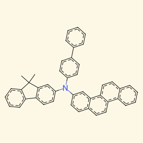 CC1(C)c2ccccc2-c2ccc(N(c3ccc(-c4ccccc4)cc3)c3ccc4ccc5c6ccccc6ccc5c4c3)cc21